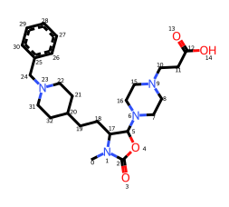 CN1C(=O)OC(N2CCN(CCC(=O)O)CC2)C1CCC1CCN(Cc2ccccc2)CC1